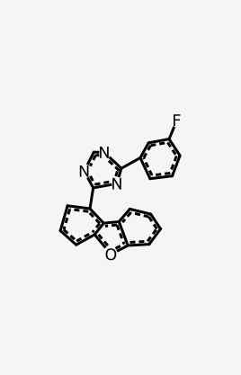 Fc1cccc(-c2ncnc(-c3cccc4oc5ccccc5c34)n2)c1